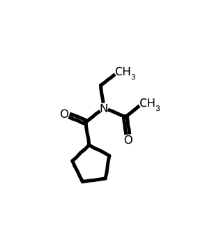 CCN(C(C)=O)C(=O)C1CCCC1